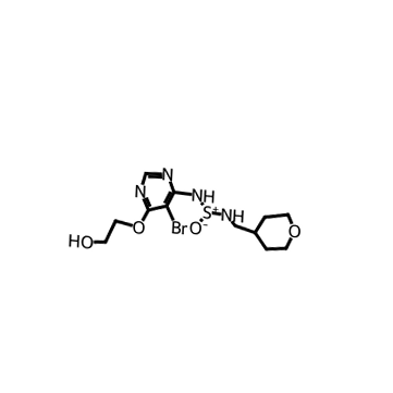 [O-][S+](NCC1CCOCC1)Nc1ncnc(OCCO)c1Br